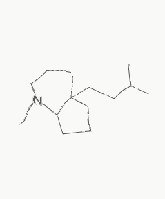 CC(C)CCC12CCCC1N(C)CCC2